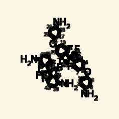 Nc1ccc(Oc2ccc(C(c3ccc(Oc4ccc(N)cc4)cc3)(C(F)(F)F)C(F)(F)F)cc2)cc1.Nc1cccc(C(c2cccc(N)c2)(C(F)(F)F)C(F)(F)F)c1